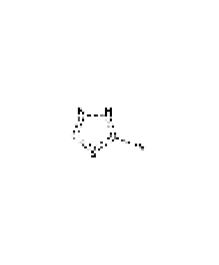 [S]c1nncs1